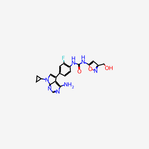 Nc1ncnc2c1c(-c1ccc(NC(=O)Nc3cc(CO)no3)c(F)c1)cn2C1CC1